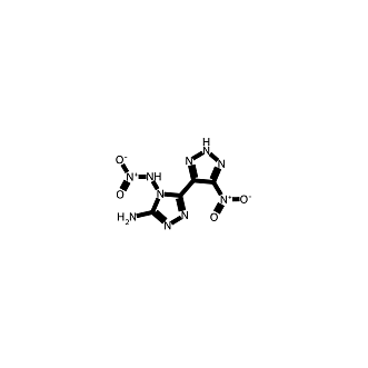 Nc1nnc(-c2n[nH]nc2[N+](=O)[O-])n1N[N+](=O)[O-]